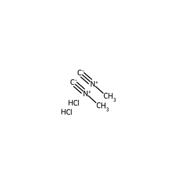 Cl.Cl.[C-]#[N+]C.[C-]#[N+]C